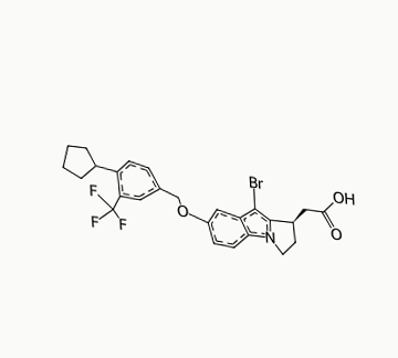 O=C(O)C[C@H]1CCn2c1c(Br)c1cc(OCc3ccc(C4CCCC4)c(C(F)(F)F)c3)ccc12